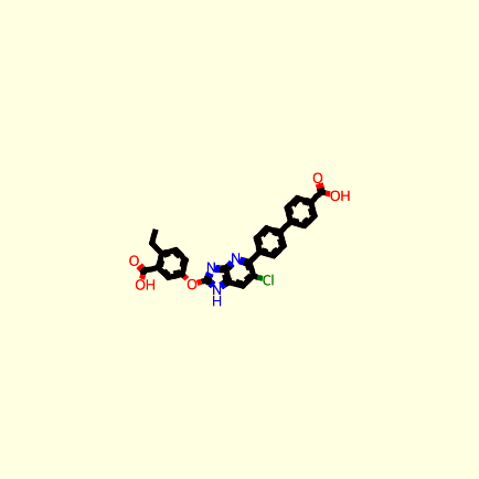 CCc1ccc(Oc2nc3nc(-c4ccc(-c5ccc(C(=O)O)cc5)cc4)c(Cl)cc3[nH]2)cc1C(=O)O